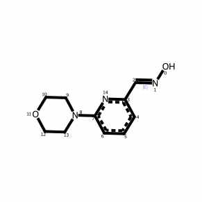 O/N=C/c1cccc(N2CCOCC2)n1